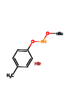 Br.CCCCOPOc1ccc(C)cc1